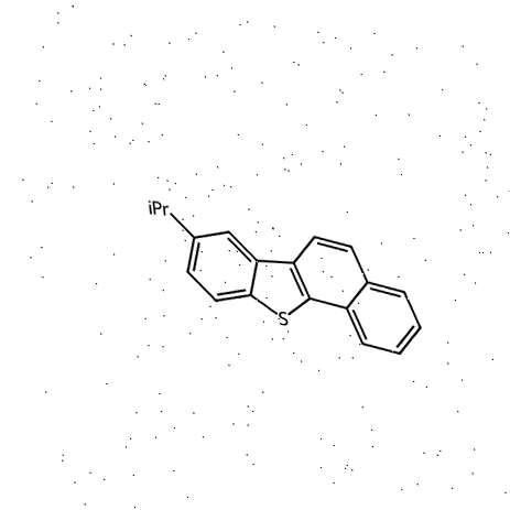 CC(C)c1ccc2sc3c4ccccc4ccc3c2c1